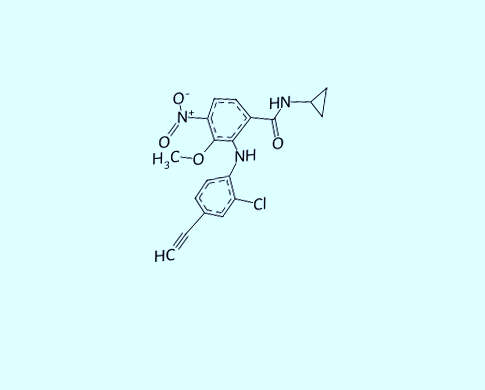 C#Cc1ccc(Nc2c(C(=O)NC3CC3)ccc([N+](=O)[O-])c2OC)c(Cl)c1